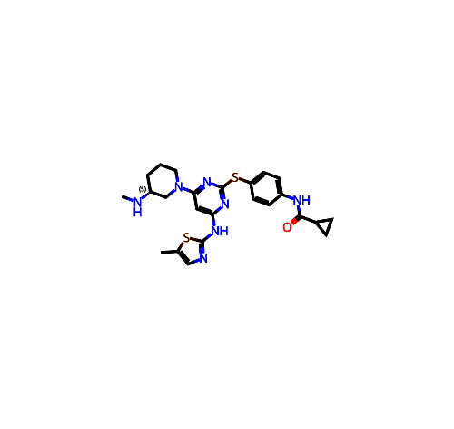 CN[C@H]1CCCN(c2cc(Nc3ncc(C)s3)nc(Sc3ccc(NC(=O)C4CC4)cc3)n2)C1